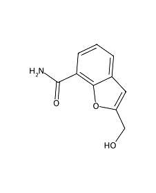 NC(=O)c1cccc2cc(CO)oc12